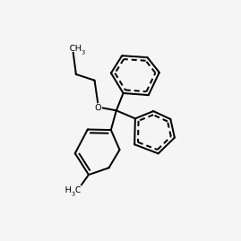 CCCOC(C1=CC=C(C)CC1)(c1ccccc1)c1ccccc1